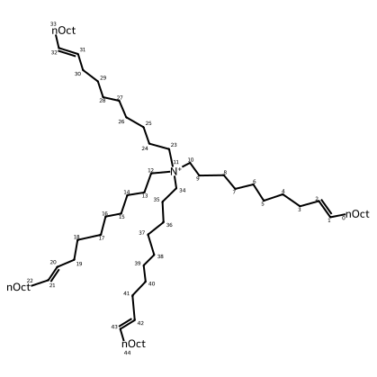 CCCCCCCCC=CCCCCCCCC[N+](CCCCCCCCC=CCCCCCCCC)(CCCCCCCCC=CCCCCCCCC)CCCCCCCCC=CCCCCCCCC